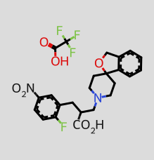 O=C(O)C(Cc1cc([N+](=O)[O-])ccc1F)CN1CCC2(CC1)OCc1ccccc12.O=C(O)C(F)(F)F